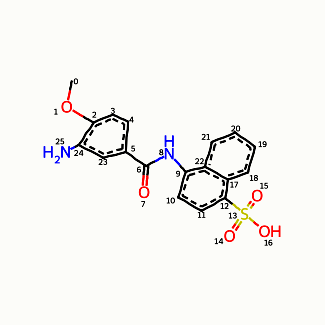 COc1ccc(C(=O)Nc2ccc(S(=O)(=O)O)c3ccccc23)cc1N